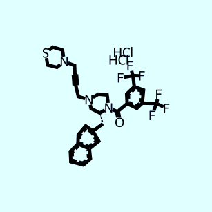 Cl.Cl.O=C(c1cc(C(F)(F)F)cc(C(F)(F)F)c1)N1CCN(CC#CCN2CCSCC2)C[C@H]1Cc1ccc2ccccc2c1